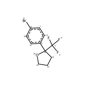 FC(F)(F)C1(c2ccc(Br)cc2)CCCO1